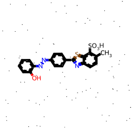 Cc1ccc2nc(-c3ccc(/N=N/c4ccccc4O)cc3)sc2c1S(=O)(=O)O